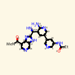 CCC(=O)Nc1cncc(-c2cnc(N)c(C(=N)c3nc4c(C(=O)NC)cncc4[nH]3)c2)c1